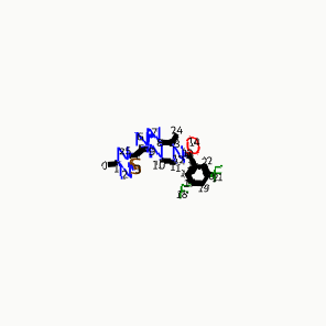 Cc1nsc(-c2nnc3n2CCN(C(=O)c2cc(F)cc(F)c2)C3C)n1